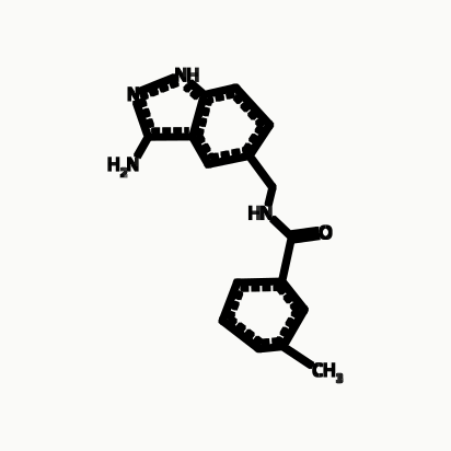 Cc1cccc(C(=O)NCc2ccc3[nH]nc(N)c3c2)c1